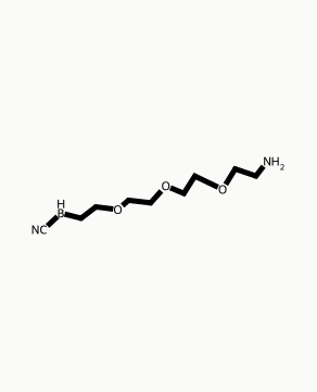 N#CBCCOCCOCCOCCN